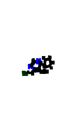 CCCCc1c(CBr)ncnc1-c1ccccc1